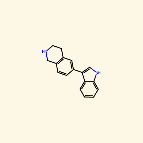 c1ccc2c(-c3ccc4c(c3)CCNC4)c[nH]c2c1